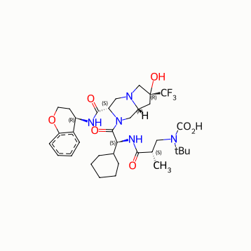 C[C@@H](CN(C(=O)O)C(C)(C)C)C(=O)N[C@H](C(=O)N1C[C@H]2C[C@](O)(C(F)(F)F)CN2C[C@H]1C(=O)N[C@@H]1CCOc2ccccc21)C1CCCCC1